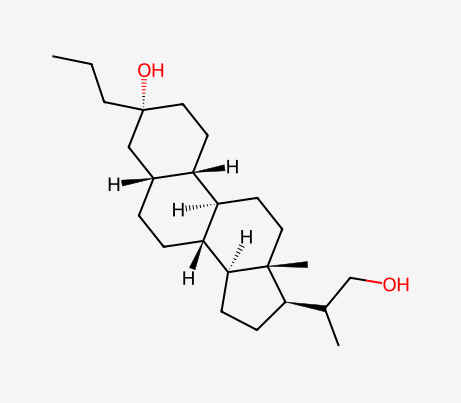 CCC[C@@]1(O)CC[C@H]2[C@H](CC[C@@H]3[C@@H]2CC[C@]2(C)[C@@H](C(C)CO)CC[C@@H]32)C1